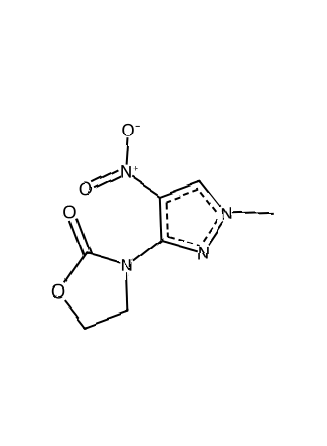 Cn1cc([N+](=O)[O-])c(N2CCOC2=O)n1